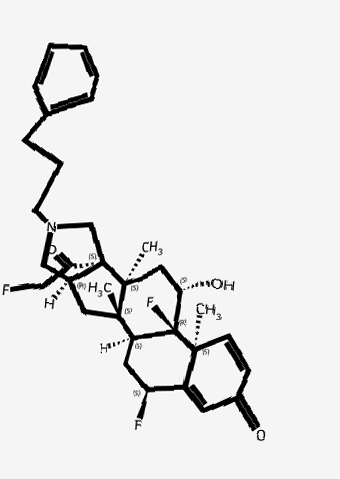 C[C@]12C[C@H](O)[C@@]3(F)[C@@H](C[C@H](F)C4=CC(=O)C=C[C@@]43C)[C@]1(C)C[C@H]1CN(CCCc3ccccc3)C[C@]12C(=O)CF